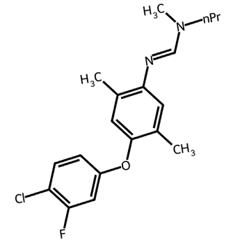 CCCN(C)C=Nc1cc(C)c(Oc2ccc(Cl)c(F)c2)cc1C